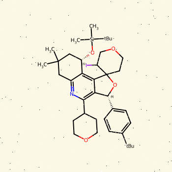 CC1(C)Cc2nc(C3CCOCC3)c3c(c2[C@@H](O[Si](C)(C)C(C)(C)C)C1)C1(CCOCC1I)O[C@@H]3c1ccc(C(C)(C)C)cc1